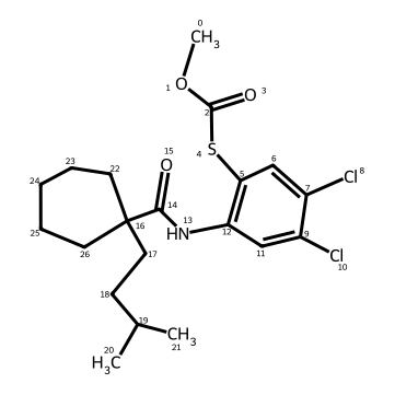 COC(=O)Sc1cc(Cl)c(Cl)cc1NC(=O)C1(CCC(C)C)CCCCC1